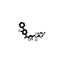 CC(c1ccc(-c2ccccc2)c(F)c1)c1cc(CNC2=NCN(C)CN2)no1